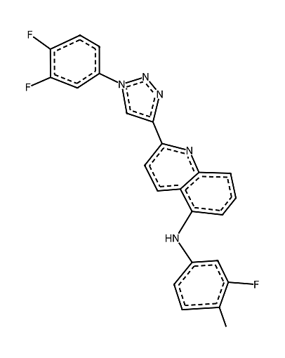 Cc1ccc(Nc2cccc3nc(-c4cn(-c5ccc(F)c(F)c5)nn4)ccc23)cc1F